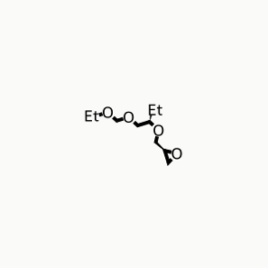 CCOCOC[C@H](CC)OC[C@@H]1CO1